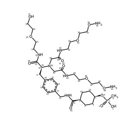 CP(=O)(O)O[C@H]1CC[C@@H](C(=O)NCc2ccc(C[C@@H](C(=O)NCCOCCO)N(CC(=O)NCCOCCON)CC(=O)NCCOCCON)cc2)CC1